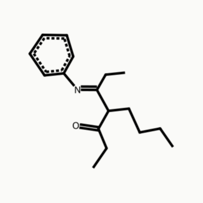 CCCCC(C(=O)CC)C(CC)=Nc1ccccc1